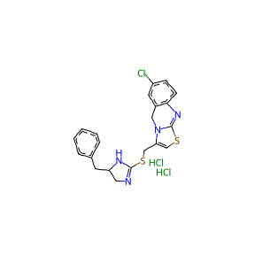 Cl.Cl.Clc1ccc2c(c1)CN1C(CSC3=NCC(Cc4ccccc4)N3)=CSC1=N2